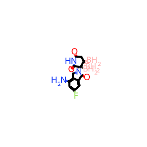 BC1(B)CC(=O)NC(=O)[C@@]1(B)N1Cc2c(N)cc(F)cc2C1=O